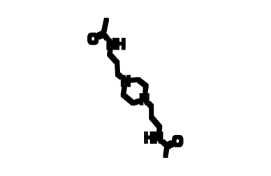 CC(=O)NCCCN1CCN(CCCNC(C)=O)CC1